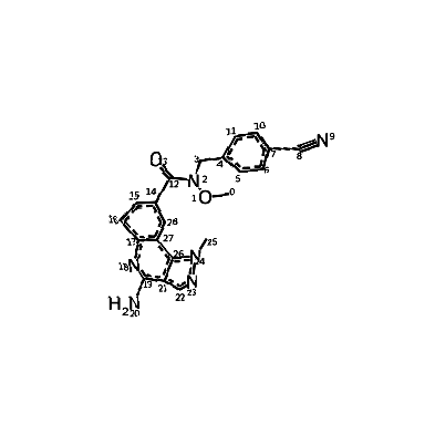 CON(Cc1ccc(C#N)cc1)C(=O)c1ccc2nc(N)c3cnn(C)c3c2c1